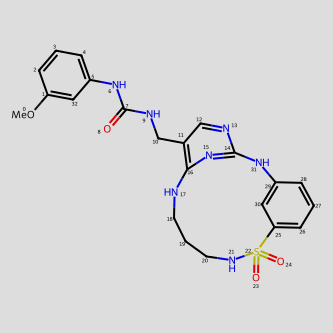 COc1cccc(NC(=O)NCc2cnc3nc2NCCCNS(=O)(=O)c2cccc(c2)N3)c1